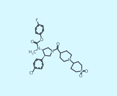 CN(C(=O)Oc1ccc(F)cc1)[C@@H]1CN(C(=O)C2CCN(C3CCS(=O)(=O)CC3)CC2)C[C@H]1c1ccc(Cl)cc1